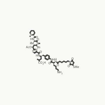 CC[C@H](C)[C@H](NC(=O)[C@H]1CCCCN1C)C(=O)N(C)[C@H](C[C@@H](OC(C)=O)c1nc(C(=O)N[C@@H](Cc2ccc(NC(=O)[C@H](CCCCN)NC(=O)CCCCCN3C(=O)CC(SC)C3=O)cc2)CC(C)C(=O)O)cs1)C(C)C